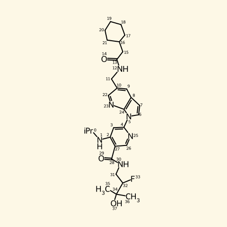 CC(C)Nc1cc(-n2ccc3cc(CNC(=O)CC4CCCCC4)cnc32)ncc1C(=O)NCC(F)C(C)(C)O